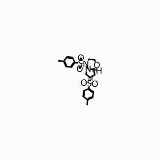 Cc1ccc(S(=O)(=O)[C@H]2C[C@H]3OCCN(S(=O)(=O)c4ccc(C)cc4)N3C2)cc1